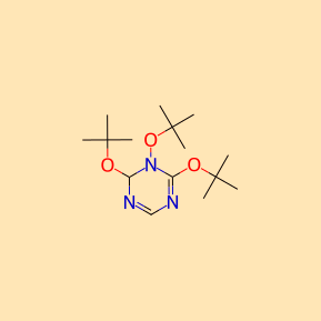 CC(C)(C)OC1=NC=NC(OC(C)(C)C)N1OC(C)(C)C